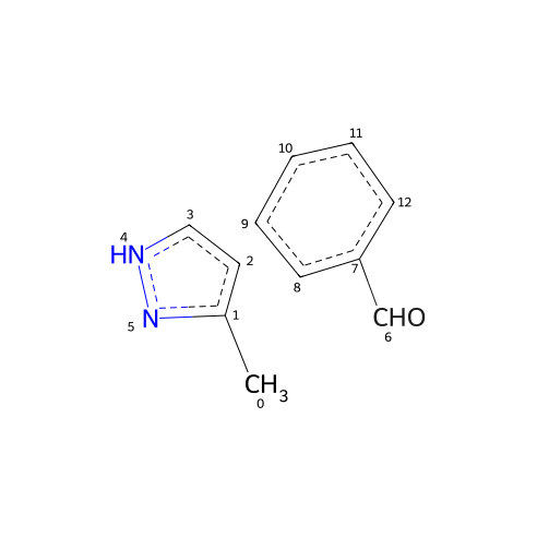 Cc1cc[nH]n1.O=Cc1ccccc1